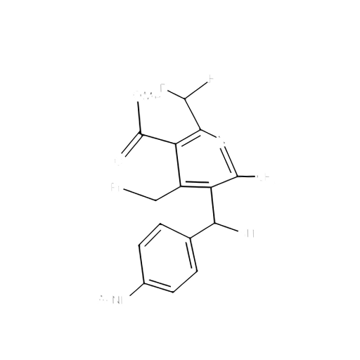 COC(=O)c1c(C(F)F)nc(C(F)(F)F)c(C(S)c2ccc(NC(C)=O)cc2)c1CC(C)C